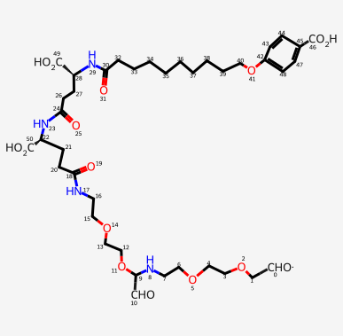 O=[C]COCCOCCNC(C=O)OCCOCCNC(=O)CC[C@H](NC(=O)CC[C@H](NC(=O)CCCCCCCCCOc1ccc(C(=O)O)cc1)C(=O)O)C(=O)O